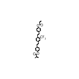 C=CC(=O)Oc1ccc(/C=C/c2ccc(/C=C/c3ccc(OC(=O)C(=C)C)cc3)cc2C(F)(F)F)cc1